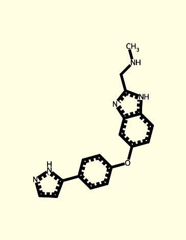 CNCc1nc2cc(Oc3ccc(-c4ccn[nH]4)cc3)ccc2[nH]1